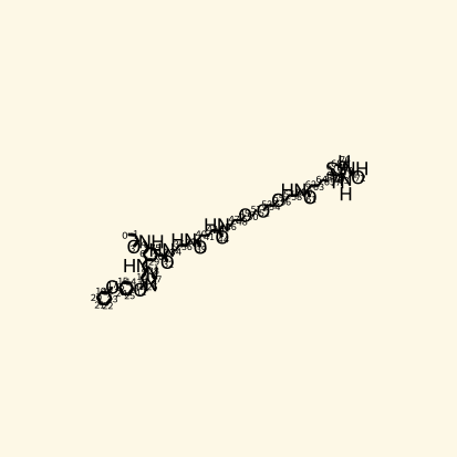 C=CC(=O)Nc1cc(Nc2cc(Oc3ccc(Oc4ccccc4)cc3)ncn2)cc(C(=O)NCCCNC(=O)CCCC(=O)NCCCOCCOCCOCCCNC(=O)CCCC[C@@H]2SC[C@@H]3NC(=O)N[C@@H]32)c1